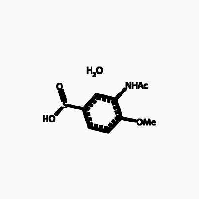 COc1ccc(S(=O)O)cc1NC(C)=O.O